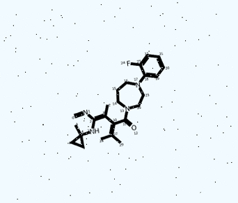 C=N/C(NC1(C)CC1)=C(\C)C(C(=O)N1CCCN(c2ccccc2F)CC1)=C(C)C